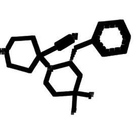 N#CC1(N2CCC(F)(F)C[C@H]2Cc2ccccc2)CCNCC1